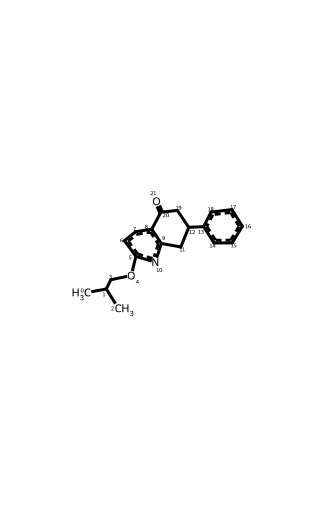 CC(C)COc1ccc2c(n1)CC(c1ccccc1)CC2=O